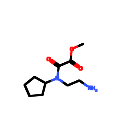 COC(=O)C(=O)N(CCN)C1CCCC1